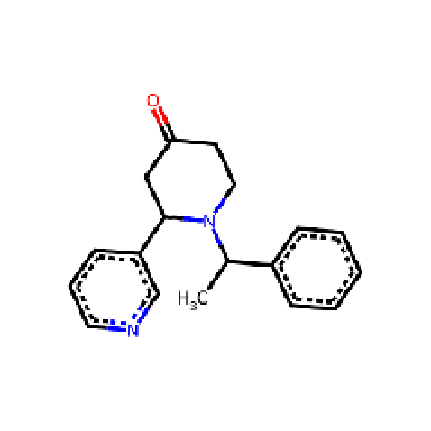 CC(c1ccccc1)N1CCC(=O)CC1c1cccnc1